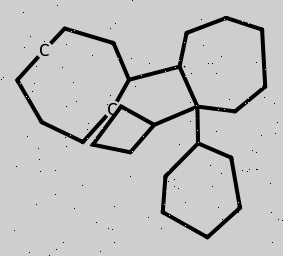 C1CCCC([C]2CCCCCC2(C2CCCCC2)C2CCC2)CCC1